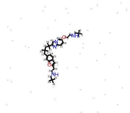 CC(C)(C)CNCCOc1ccc2nc(C(C)(C)CC(C)(C)Cc3ccc4cc(CCNCC(C)(C)C)oc4c3)cn2c1